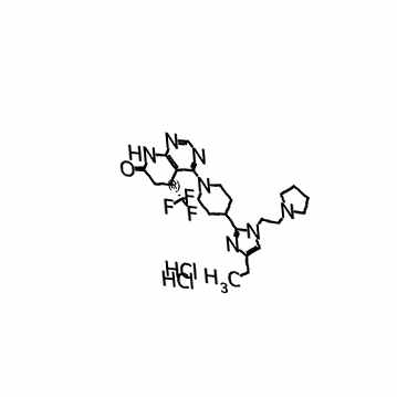 CCc1cn(CCN2CCCC2)c(C2CCN(c3ncnc4c3[C@H](C(F)(F)F)CC(=O)N4)CC2)n1.Cl.Cl